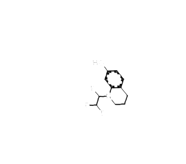 Oc1ccc2c(c1)N(C(F)C(F)F)CCC2